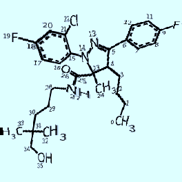 CCCCC1C(c2ccc(F)cc2)=NN(c2ccc(F)cc2Cl)C1(C)C(=O)NCCCC(C)(C)CO